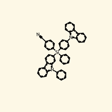 N#Cc1ccc([Si](c2ccccc2)(c2ccc(-n3c4ccccc4c4ccccc43)cc2)c2ccc3c4ccccc4n(-c4ccccc4)c3c2)cc1